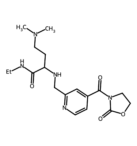 CCNC(=O)C(CCN(C)C)NCc1cc(C(=O)N2CCOC2=O)ccn1